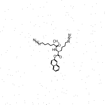 C[C@@H](CCCCN=[N+]=[N-])C(=O)N[C@@H](CCCCN=[N+]=[N-])C(=O)Oc1ccc2ccccc2c1